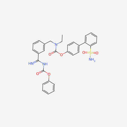 CCN(Cc1cccc(C(=N)NC(=O)Oc2ccccc2)c1)C(=O)Oc1ccc(-c2ccccc2S(N)(=O)=O)cc1